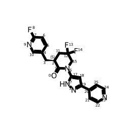 O=C1[C@@H](Cc2ccc(F)nc2)CC(F)(F)CN1c1cc(-c2ccncc2)n[nH]1